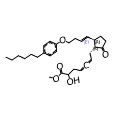 CCCCCCc1ccc(OCC/C=C/[C@H]2CCC(=O)[C@@H]2CC=C=CCC(O)C(=O)OC)cc1